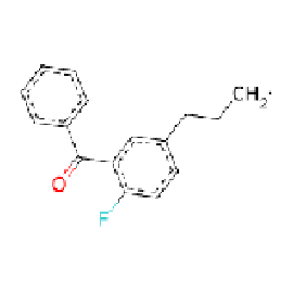 [CH2]CCc1ccc(F)c(C(=O)c2ccccc2)c1